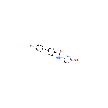 O=C(Nc1ccc(O)nc1)c1ccc(-c2ccc(Cl)cc2)cc1